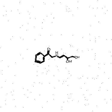 O=C(CNC=CC(O)CO)c1ccccc1